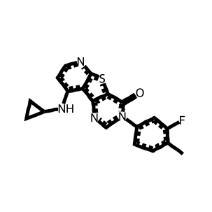 Cc1ccc(-n2cnc3c(sc4nccc(NC5CC5)c43)c2=O)cc1F